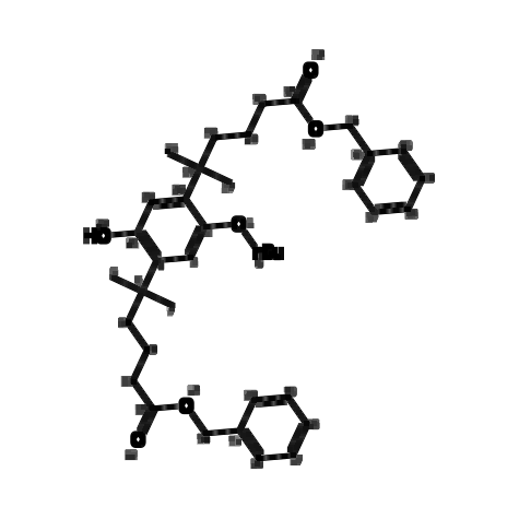 CCCCOc1cc(C(C)(C)CCCC(=O)OCc2ccccc2)c(O)cc1C(C)(C)CCCC(=O)OCc1ccccc1